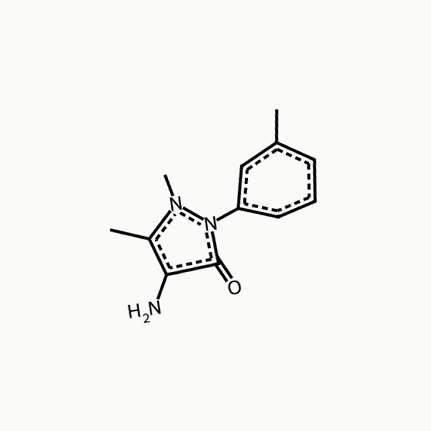 Cc1cccc(-n2c(=O)c(N)c(C)n2C)c1